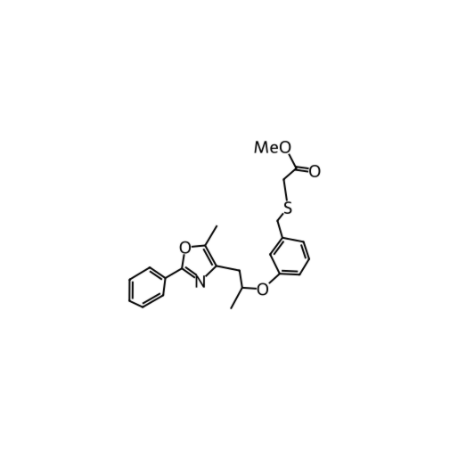 COC(=O)CSCc1cccc(OC(C)Cc2nc(-c3ccccc3)oc2C)c1